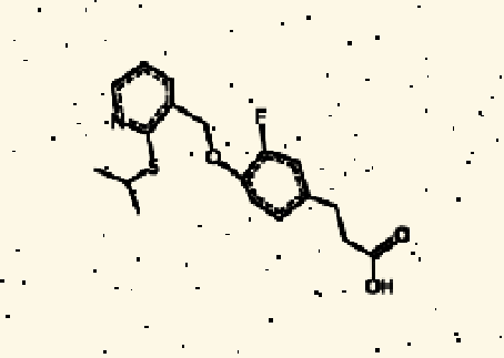 CC(C)Sc1ncccc1COc1ccc(CCC(=O)O)cc1F